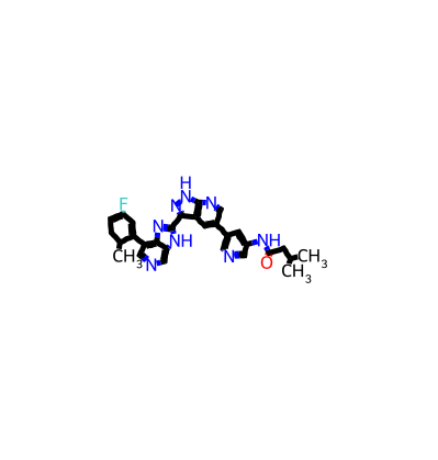 CC(C)CC(=O)Nc1cncc(-c2cnc3[nH]nc(-c4nc5c(C6=CC(F)=CCC6C)cncc5[nH]4)c3c2)c1